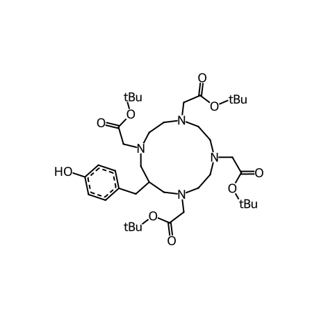 CC(C)(C)OC(=O)CN1CCN(CC(=O)OC(C)(C)C)CCN(CC(=O)OC(C)(C)C)CC(Cc2ccc(O)cc2)CN(CC(=O)OC(C)(C)C)CC1